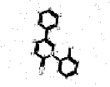 Cc1ccccc1-n1cc(-c2ccccc2)ccc1=O